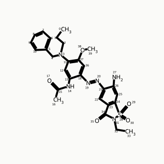 CCCN(Cc1ccccc1)c1cc(NC(C)=O)c(/N=N/c2cc3c(cc2N)S(=O)(=O)N(CC)C3=O)cc1OC